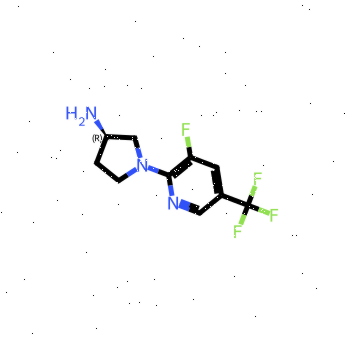 N[C@@H]1CCN(c2ncc(C(F)(F)F)cc2F)C1